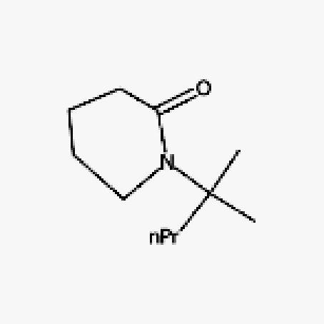 CCCC(C)(C)N1CCCCC1=O